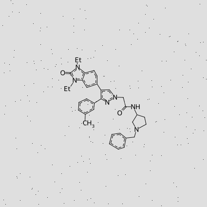 CCn1c(=O)n(CC)c2cc(-c3cn(CC(=O)NC4CCN(Cc5ccccc5)C4)nc3-c3cccc(C)c3)ccc21